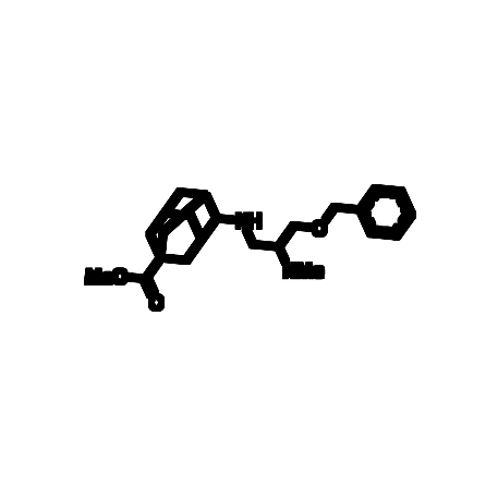 CNC(CNC1C2CC3CC1CC(C(=O)OC)(C3)C2)COCc1ccccc1